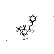 CC(C)(C)OC(=O)N(CC(=O)O)C(O)CCc1ccccc1